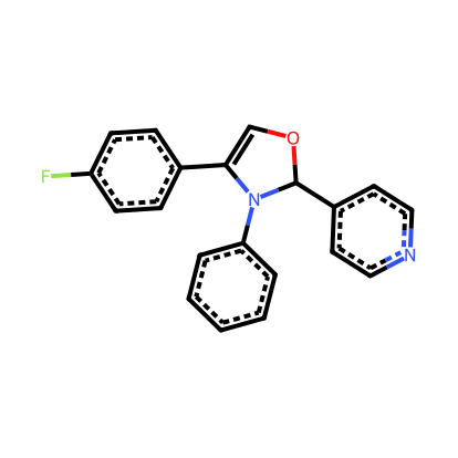 Fc1ccc(C2=COC(c3ccncc3)N2c2ccccc2)cc1